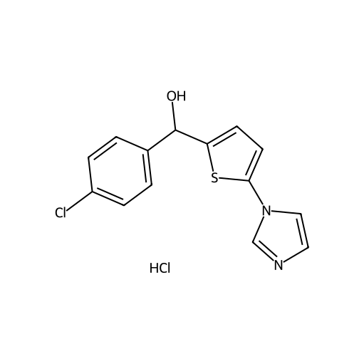 Cl.OC(c1ccc(Cl)cc1)c1ccc(-n2ccnc2)s1